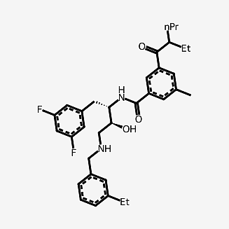 CCCC(CC)C(=O)c1cc(C)cc(C(=O)N[C@@H](Cc2cc(F)cc(F)c2)[C@@H](O)CNCc2cccc(CC)c2)c1